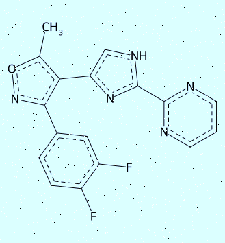 Cc1onc(-c2ccc(F)c(F)c2)c1-c1c[nH]c(-c2ncccn2)n1